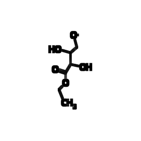 CCOC(=O)C(O)C(O)C[O]